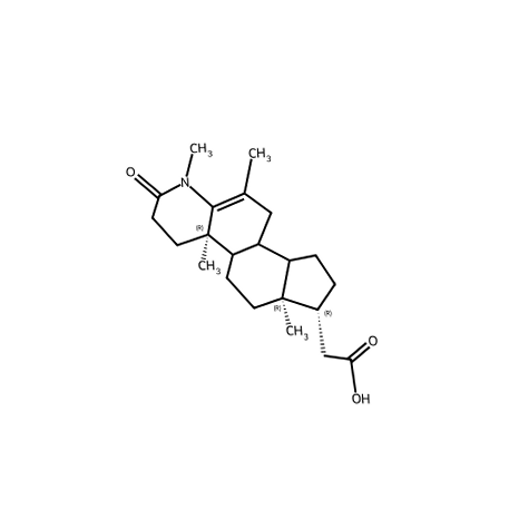 CC1=C2N(C)C(=O)CC[C@]2(C)C2CC[C@@]3(C)C(CC[C@@H]3CC(=O)O)C2C1